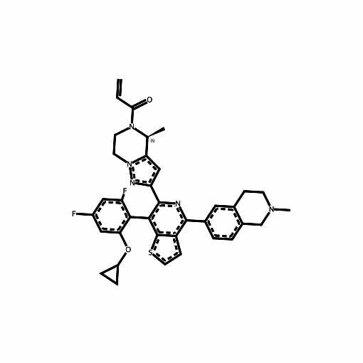 C=CC(=O)N1CCn2nc(-c3nc(-c4ccc5c(c4)CCN(C)C5)c4ccsc4c3-c3c(F)cc(F)cc3OC3CC3)cc2[C@@H]1C